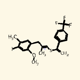 C=C(S/C=C(\C)Cc1cc(C)c(I)cc1OC)c1ccc(C(F)(F)F)cc1